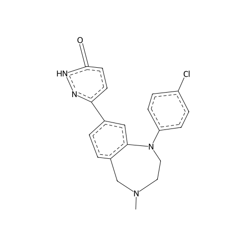 CN1CCN(c2ccc(Cl)cc2)c2cc(-c3ccc(=O)[nH]n3)ccc2C1